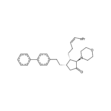 CCC/C=C\CC[C@H]1[C@@H](CCc2ccc(-c3ccccc3)cc2)CC(=O)[C@@H]1N1CCOCC1